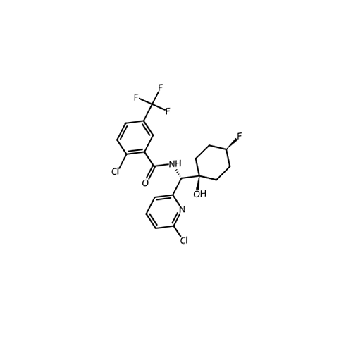 O=C(N[C@@H](c1cccc(Cl)n1)[C@]1(O)CC[C@@H](F)CC1)c1cc(C(F)(F)F)ccc1Cl